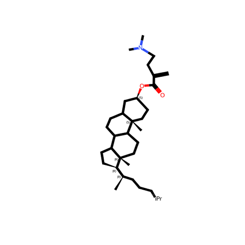 C=C(CCN(C)C)C(=O)O[C@H]1CC[C@@]2(C)C(CCC3C2CC[C@@]2(C)C3CC[C@@H]2[C@H](C)CCCC(C)C)C1